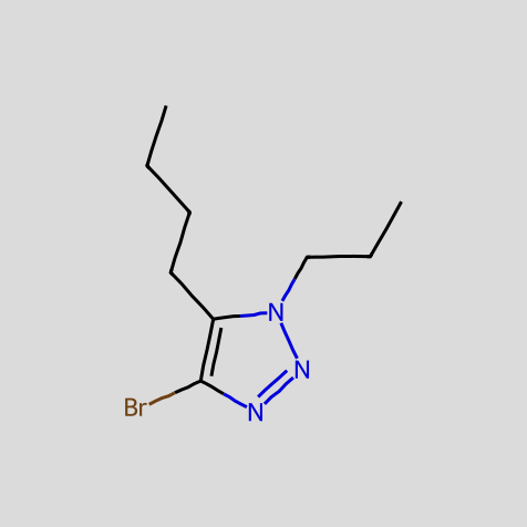 CCCCc1c(Br)nnn1CCC